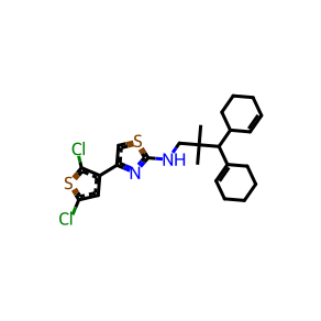 CC(C)(CNc1nc(-c2cc(Cl)sc2Cl)cs1)C(C1=CCCCC1)C1C=CCCC1